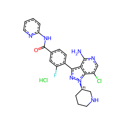 Cl.Nc1ncc(Cl)c2c1c(-c1ccc(C(=O)Nc3ccccn3)cc1F)nn2[C@@H]1CCCNC1